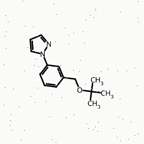 CC(C)(C)OCc1cccc(-n2cccn2)c1